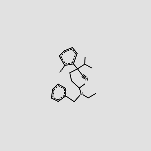 CCN(Cc1ccccc1)C(C)CCC(C#N)(c1ccccc1F)C(C)C